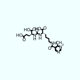 Cc1ncncc1C(=O)NCCCC[C@H](NC(=O)N[C@@H](CCC(=O)O)C(=O)O)C(=O)O